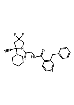 N#CC1(N2CCCCC2)CC(F)(F)CN1C(=O)CNC(=O)c1ccncc1Cc1ccccc1